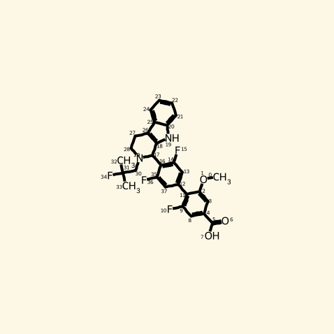 COc1cc(C(=O)O)cc(F)c1-c1cc(F)c(C2c3[nH]c4ccccc4c3CCN2CC(C)(C)F)c(F)c1